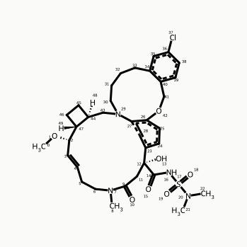 CO[C@H]1/C=C/CCN(C)C(=O)C[C@](O)(C(=O)NS(=O)(=O)N(C)C)c2ccc3c(c2)N(CCCCc2cc(Cl)ccc2CO3)C[C@@H]2CC[C@H]21